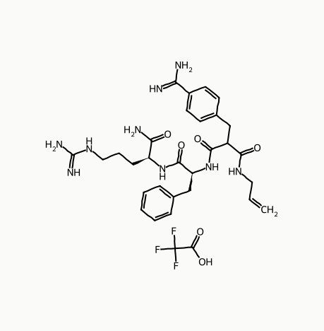 C=CCNC(=O)C(Cc1ccc(C(=N)N)cc1)C(=O)N[C@@H](Cc1ccccc1)C(=O)N[C@@H](CCCNC(=N)N)C(N)=O.O=C(O)C(F)(F)F